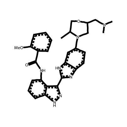 COc1ccccc1C(=O)Nc1cccc2[nH]nc(-c3nc4ccc(N5CC(CN(C)C)OCC5C)cc4[nH]3)c12